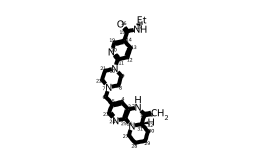 C=C1Nc2cc(CN3CCN(c4ccc(C(=O)NCC)cn4)CC3)cnc2N2CCCC[C@@H]12